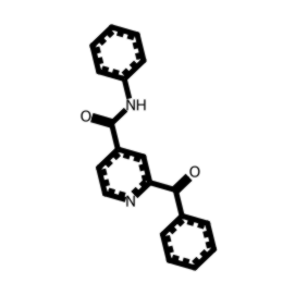 O=C(Nc1ccccc1)c1ccnc(C(=O)c2ccccc2)c1